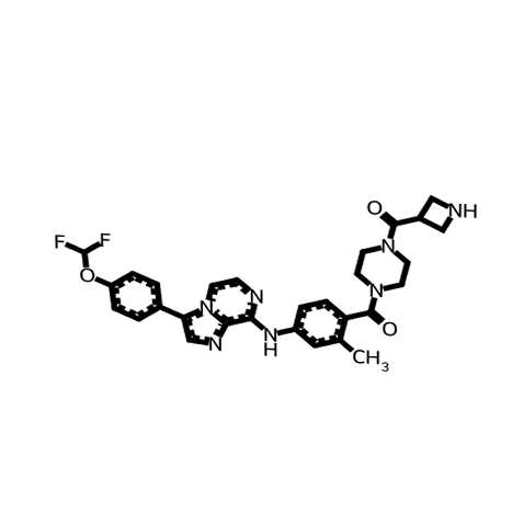 Cc1cc(Nc2nccn3c(-c4ccc(OC(F)F)cc4)cnc23)ccc1C(=O)N1CCN(C(=O)C2CNC2)CC1